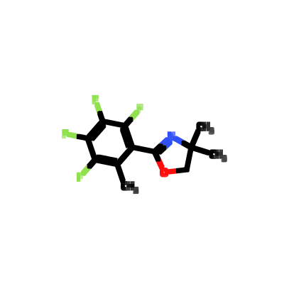 Cc1c(F)c(F)c(F)c(F)c1C1=NC(C)(C)CO1